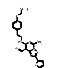 N=Cc1c(NCCc2ccc(OCC(=O)O)cc2)nc(N)n2nc(-c3ccco3)nc12